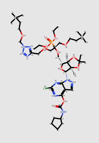 CCOP(=O)(OCC)[C@@](COCC[Si](C)(C)C)(COCc1nnn(COCC[Si](C)(C)C)n1)OC[C@H]1O[C@@H](n2ncc3c(OC(=O)NC4CCCC4)nc(Cl)nc32)[C@@H]2OC(C)(C)O[C@@H]21